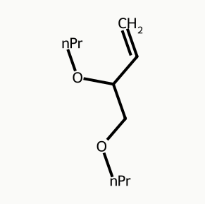 C=CC(COCCC)OCCC